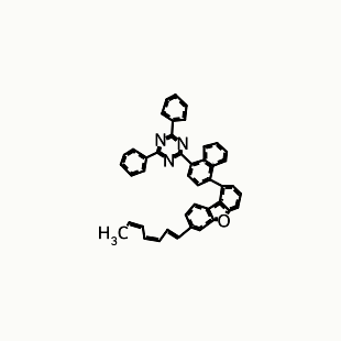 C\C=C/C=C\C=C\c1ccc2c(c1)oc1cccc(-c3ccc(-c4nc(-c5ccccc5)nc(-c5ccccc5)n4)c4ccccc34)c12